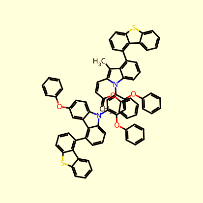 C=C(/C=C\c1c(C)c2c(-c3cccc4sc5ccccc5c34)cccc2n1-c1cc(-n2c3ccc(Oc4ccccc4)cc3c3c(-c4cccc5sc6ccccc6c45)cccc32)c(Oc2ccccc2)cc1Oc1ccccc1)Oc1ccccc1